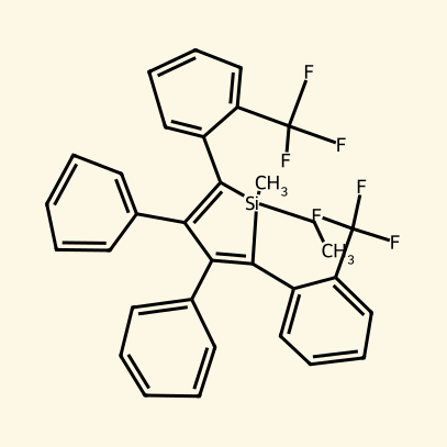 CC[Si]1(C)C(c2ccccc2C(F)(F)F)=C(c2ccccc2)C(c2ccccc2)=C1c1ccccc1C(F)(F)F